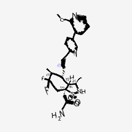 COc1ncccc1-c1ccc(/C=C/[C@@H]2[C@@H]3[C@@H](C)NS(=O)(=O)[C@@]3(CC(N)=O)CC(F)(F)[C@H]2C)nc1